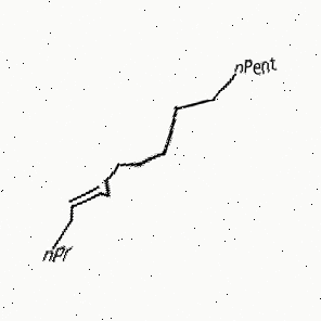 [CH2]CCCCCCCCC=CCCC